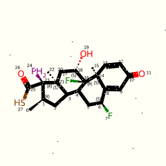 C[C@@H]1CC2C3C[C@H](F)C4=CC(=O)C=C[C@]4(C)[C@@]3(F)[C@@H](O)C[C@]2(C)[C@@]1(P)C(=O)S